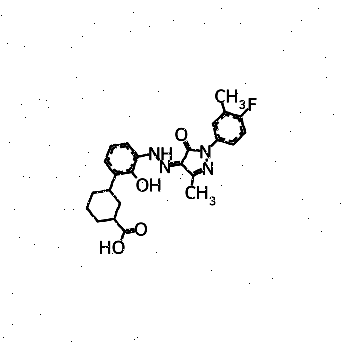 CC1=NN(c2ccc(F)c(C)c2)C(=O)C1=NNc1cccc(C2CCCC(C(=O)O)C2)c1O